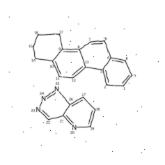 c1ccc2c(c1)ccc1c3c(ccc12)CCCC3.c1cnc2cnnnc2c1